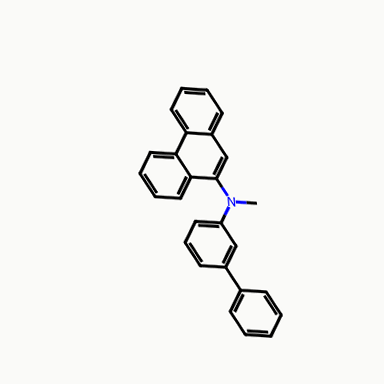 CN(c1cccc(-c2ccccc2)c1)c1cc2ccccc2c2ccccc12